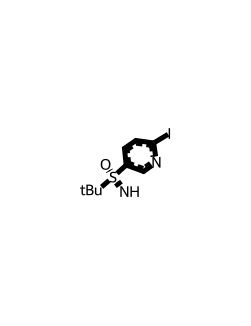 CC(C)(C)S(=N)(=O)c1ccc(I)nc1